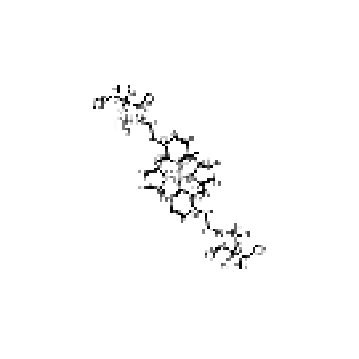 CC(C)(CCl)C(=O)NCCc1ccc(F)[c]([Ti]([c]2c(F)ccc(CCNC(=O)C(C)(C)CCl)c2F)([CH]2C=CC=C2)[CH]2C=CC=C2)c1F